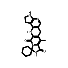 Cc1c2c(c(=O)n3c1C(=O)NC31CCCCC1)Nc1c(cnc3c1CCN3)C2